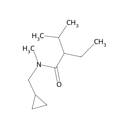 CCC(C(=O)N(C)CC1CC1)C(C)C